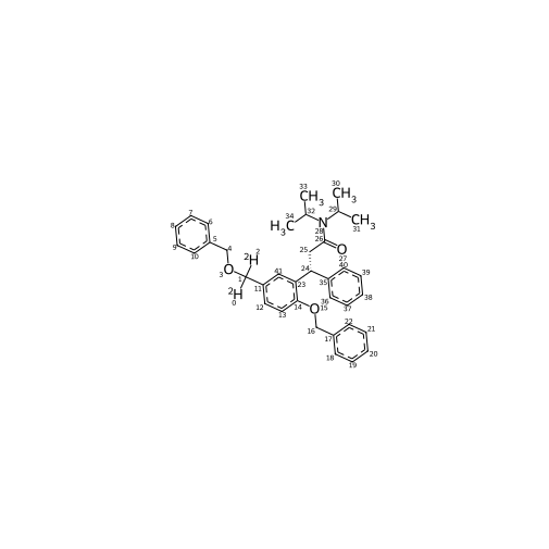 [2H]C([2H])(OCc1ccccc1)c1ccc(OCc2ccccc2)c([C@H](CC(=O)N(C(C)C)C(C)C)c2ccccc2)c1